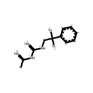 [2H]C([2H])(CNC(=N)NC(C)=N)c1ccccc1